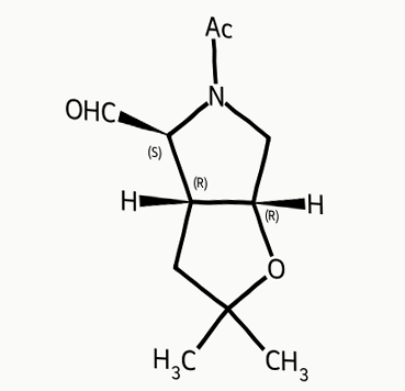 CC(=O)N1C[C@@H]2OC(C)(C)C[C@@H]2[C@H]1C=O